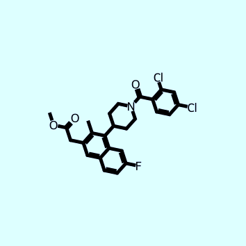 COC(=O)Cc1cc2ccc(F)cc2c(C2CCN(C(=O)c3ccc(Cl)cc3Cl)CC2)c1C